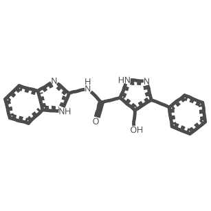 O=C(Nc1nc2ccccc2[nH]1)c1[nH]nc(-c2ccccc2)c1O